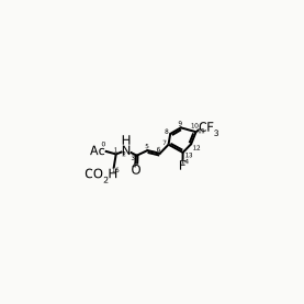 CC(=O)C(NC(=O)/C=C/c1ccc(C(F)(F)F)cc1F)C(=O)O